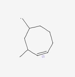 [CH2]C1CCC/C=C\C(C)C1